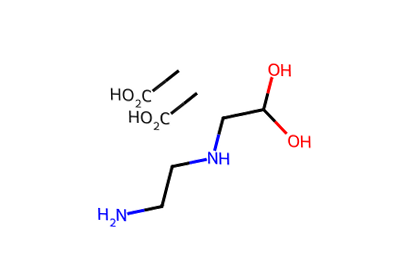 CC(=O)O.CC(=O)O.NCCNCC(O)O